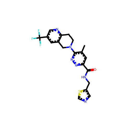 Cc1cc(C(=O)NCc2cncs2)nnc1N1CCc2ncc(C(F)(F)F)cc2C1